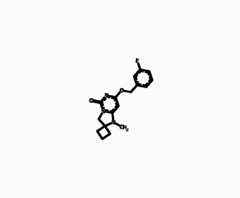 CN1c2cc(OCc3cccc(F)c3)nc(=O)n2CC12CCC2